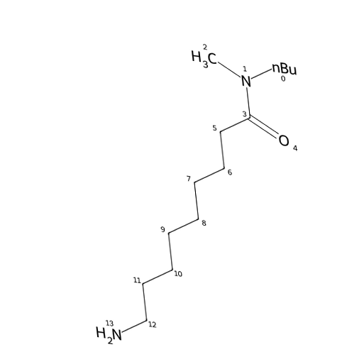 CCCCN(C)C(=O)CCCCCCCCN